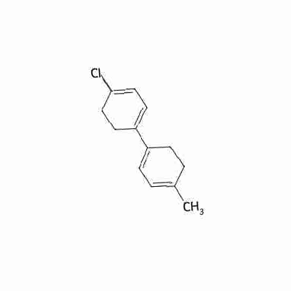 CC1=CC=C(C2=CC=C(Cl)CC2)CC1